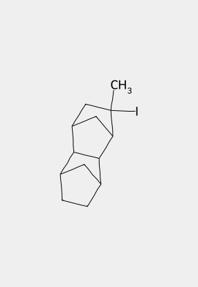 CC1(I)CC2CC1C1C3CCC(C3)C21